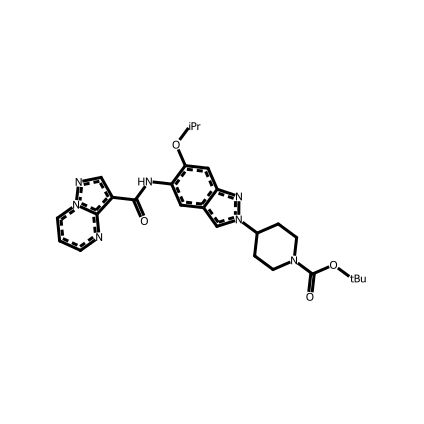 CC(C)Oc1cc2nn(C3CCN(C(=O)OC(C)(C)C)CC3)cc2cc1NC(=O)c1cnn2cccnc12